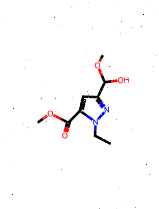 CCn1nc(C(O)OC)cc1C(=O)OC